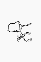 O=C1N2CCCC(C2)N1S(=O)(=O)O